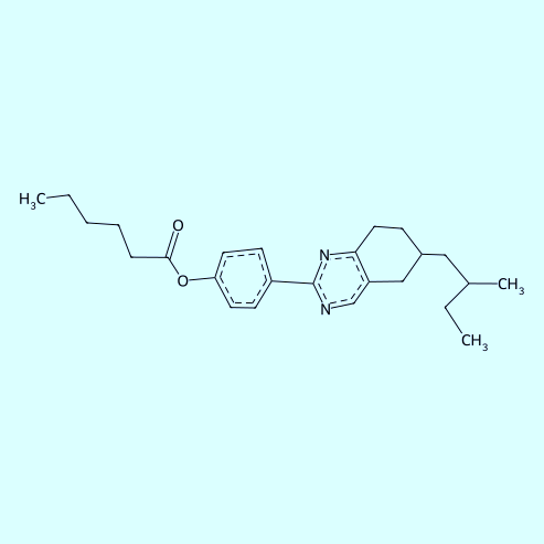 CCCCCC(=O)Oc1ccc(-c2ncc3c(n2)CCC(CC(C)CC)C3)cc1